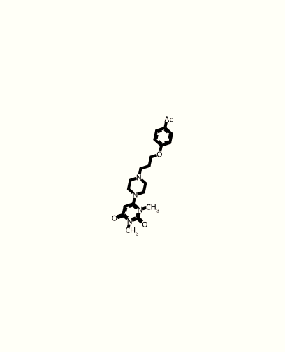 CC(=O)c1ccc(OCCCN2CCN(c3cc(=O)n(C)c(=O)n3C)CC2)cc1